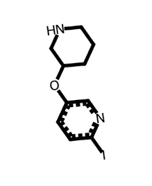 Ic1ccc(OC2CCCNC2)cn1